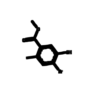 COC(=O)c1cc(S)c(Br)cc1C